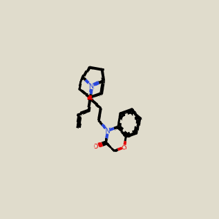 C=CCC1CC2CCC(C1)N2CCCN1C(=O)COc2ccccc21